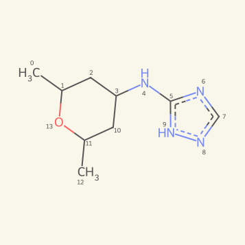 CC1CC(Nc2ncn[nH]2)CC(C)O1